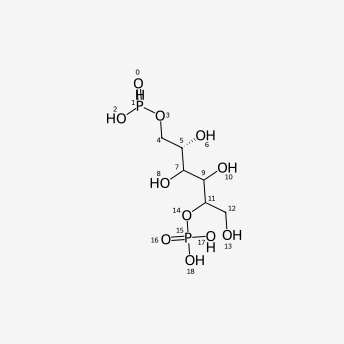 O=[PH](O)OC[C@H](O)C(O)C(O)C(CO)OP(=O)(O)O